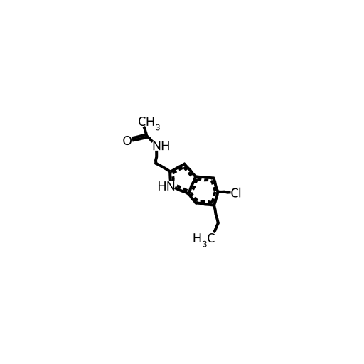 CCc1cc2[nH]c(CNC(C)=O)cc2cc1Cl